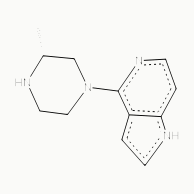 C[C@@H]1CN(c2nccc3[nH]ccc23)CCN1